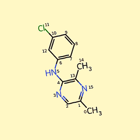 Cc1cnc(Nc2cccc(Cl)c2)c(C)n1